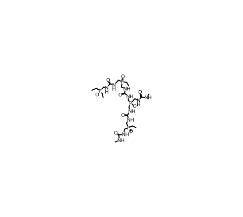 CCP(=O)(CC)CNC(=O)NCP(=O)(CC)CNC(=O)NCP(=O)(CNC(=O)NC)CNC(=O)NCP(=O)(CC)CNC(=O)NC